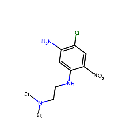 CCN(CC)CCNc1cc(N)c(Cl)cc1[N+](=O)[O-]